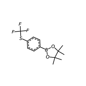 CC1(C)OB(c2ccc(SC(F)(F)F)cc2)OC1(C)C